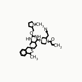 C=CC(=O)N1CCN(C2NC(OCC3CCCN3C)NC3C[C@@]4(CCC32)Cc2ccccc2C(C)S4)CC1CC#N